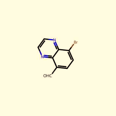 O=Cc1ccc(Br)c2nccnc12